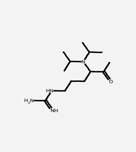 CC(=O)C(CCCNC(=N)N)N(C(C)C)C(C)C